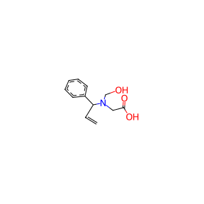 C=CC(c1ccccc1)N(CO)CC(=O)O